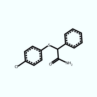 NC(=O)C(Sc1ccc(Cl)cc1)c1ccccc1